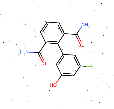 NC(=O)c1cccc(C(N)=O)c1-c1cc(O)cc(F)c1